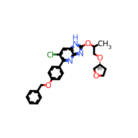 CC(CO[C@@H]1CCOC1)Oc1nc2nc(-c3ccc(OCc4ccccc4)cc3)c(Cl)cc2[nH]1